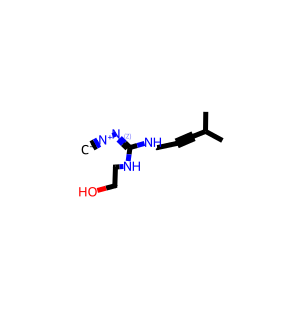 [C-]#[N+]/N=C(/NCC#CC(C)C)NCCO